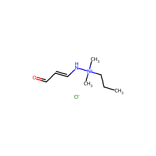 CCC[N+](C)(C)NC=CC=O.[Cl-]